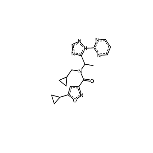 CC(c1ncnn1-c1ncccn1)N(CC1CC1)C(=O)c1cc(C2CC2)on1